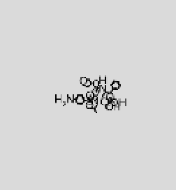 CC(C)CN(C[C@@H](OP(=O)(O)O)C(Cc1ccccc1)NC(=O)O[C@H]1CCOC1)S(=O)(=O)c1ccc(N)cc1